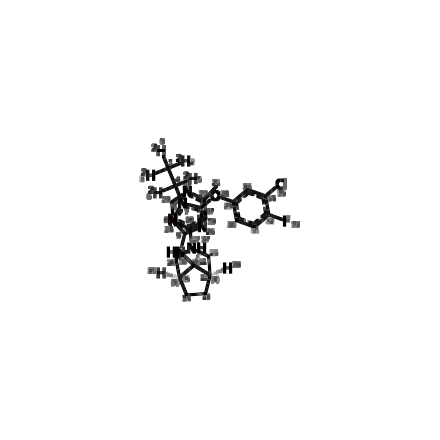 [2H]C([2H])([2H])C([2H])([2H])n1nc(N[C@H]2[C@@H]3CC[C@H]2CN(c2cc(C)ncn2)C3)nc1Oc1ccc(F)c(Cl)c1